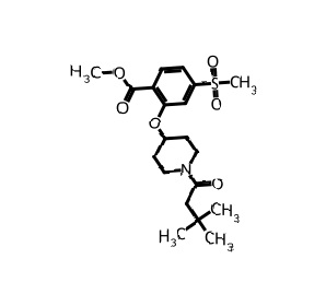 COC(=O)c1ccc(S(C)(=O)=O)cc1OC1CCN(C(=O)CC(C)(C)C)CC1